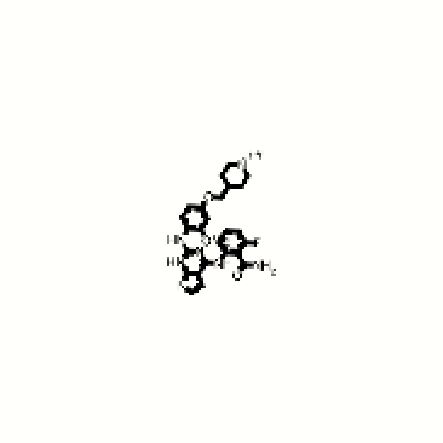 CCCN1CCC(COc2ccc(Nc3nc(Nc4cccc(F)c4C(N)=O)c4ccnc-4[nH]3)c(OC)c2)CC1